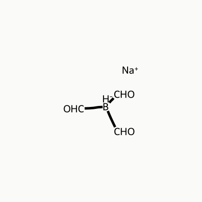 O=C[BH-](C=O)C=O.[Na+]